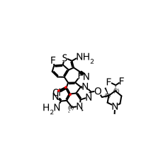 C[C@H](c1cccnc1N)N(C)c1nc(OC[C@@]2(C)CN(C)CC[C@H]2C(F)F)nc2c(F)c(-c3ccc(F)c4sc(N)c(C#N)c34)c(Cl)cc12